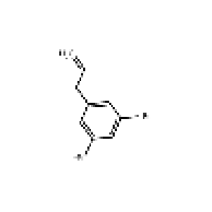 C=CCc1cc(C(C)(C)C)[c]c(C(C)(C)C)c1